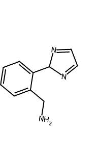 NCc1ccccc1C1N=CC=N1